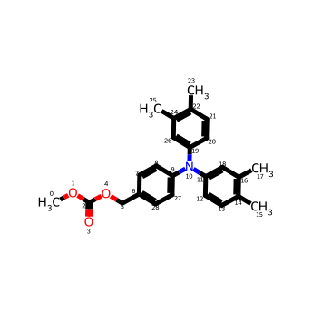 COC(=O)OCc1ccc(N(c2ccc(C)c(C)c2)c2ccc(C)c(C)c2)cc1